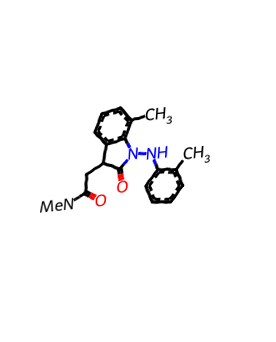 CNC(=O)CC1C(=O)N(Nc2ccccc2C)c2c(C)cccc21